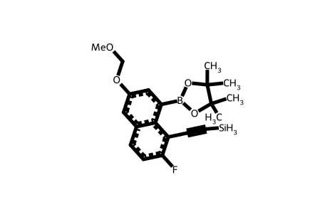 COCOc1cc(B2OC(C)(C)C(C)(C)O2)c2c(C#C[SiH3])c(F)ccc2c1